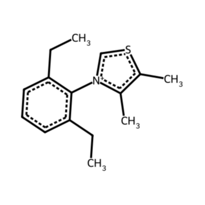 CCc1cccc(CC)c1-[n+]1csc(C)c1C